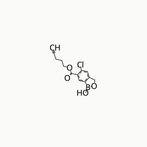 C#CCCCOC(=O)c1cc2c(cc1Cl)COB2O